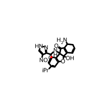 CC(C)c1ccc2c(c1)OC1(O)C3=C(C(=O)C21NC(=O)c1n[nH]cc1[N+](=O)[O-])C(N)CC=C3